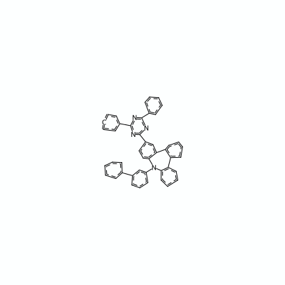 c1ccc(-c2cccc(N3c4ccccc4-c4ccccc4-c4cc(-c5nc(-c6ccccc6)nc(-c6ccccc6)n5)ccc43)c2)cc1